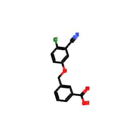 N#Cc1cc(OCc2cccc(C(=O)O)c2)ccc1Cl